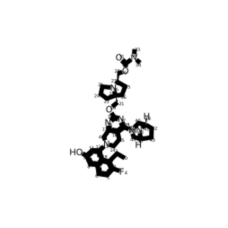 CCc1c(F)ccc2cc(O)cc(N3CCc4c(nc(OC[C@]56CCCN5[C@@H](COC(=O)N(C)C)CC6)nc4N4C[C@H]5CC[C@@H](C4)N5)C3)c12